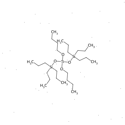 CCCC[O][Ti]([O]CCCC)([O][Si](CCC)(CCC)CCC)[O][Si](CCC)(CCC)CCC